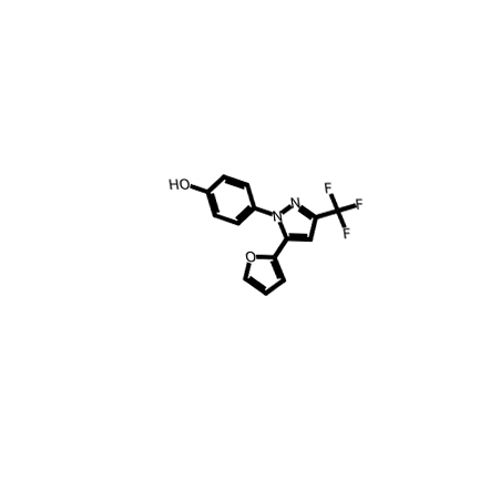 Oc1ccc(-n2nc(C(F)(F)F)cc2-c2ccco2)cc1